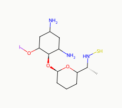 C[C@@H](NS)C1CCC[C@@H](O[C@@H]2C(N)CC(N)CC2OI)O1